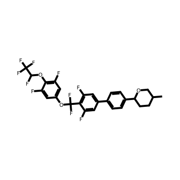 CC1CCC(c2ccc(-c3cc(F)c(C(F)(F)Oc4cc(F)c(OC(F)C(F)(F)F)c(F)c4)c(F)c3)cc2)OC1